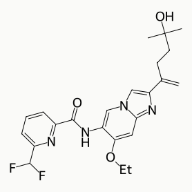 C=C(CCC(C)(C)O)c1cn2cc(NC(=O)c3cccc(C(F)F)n3)c(OCC)cc2n1